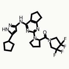 O=C(C1CCCN1c1nc2c(c(Nc3cc(C4CCCC4)[nH]n3)n1)CCC2)N1CC(F)(F)C(F)(F)C1